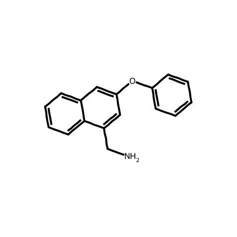 NCc1cc(Oc2ccccc2)cc2ccccc12